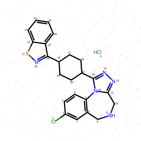 Cl.Clc1ccc2c(c1)CNCc1nnc(C3CCC(c4nsc5ccccc45)CC3)n1-2